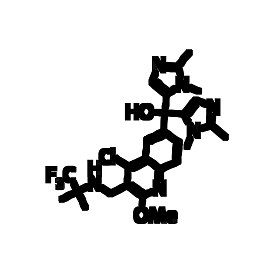 COc1nc2ccc(C(O)(c3cnc(C)n3C)c3cnc(C)n3C)cc2c(Cl)c1CNC(C)(C)C(F)(F)F